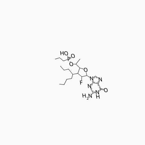 CCCCC(CCC)C1C(F)C(n2cnc3c(=O)[nH]c(N)nc32)OC1C(C)OP(=O)(O)CCC